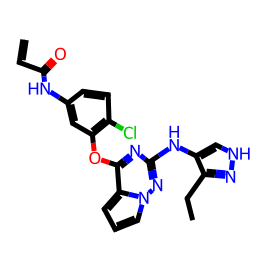 C=CC(=O)Nc1ccc(Cl)c(Oc2nc(Nc3c[nH]nc3CC)nn3cccc23)c1